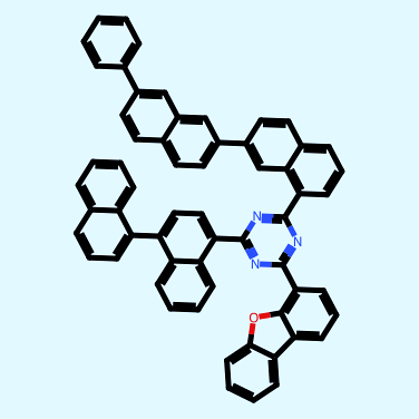 c1ccc(-c2ccc3ccc(-c4ccc5cccc(-c6nc(-c7ccc(-c8cccc9ccccc89)c8ccccc78)nc(-c7cccc8c7oc7ccccc78)n6)c5c4)cc3c2)cc1